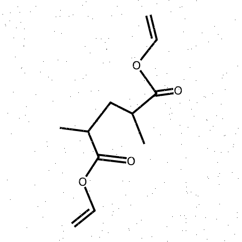 C=COC(=O)C(C)CC(C)C(=O)OC=C